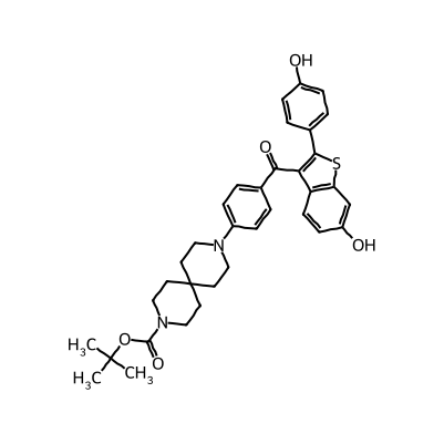 CC(C)(C)OC(=O)N1CCC2(CC1)CCN(c1ccc(C(=O)c3c(-c4ccc(O)cc4)sc4cc(O)ccc34)cc1)CC2